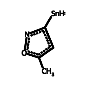 Cc1c[c]([SnH])no1